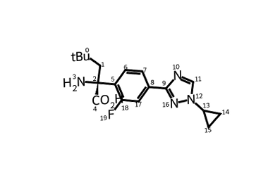 CC(C)(C)C[C@](N)(C(=O)O)c1ccc(-c2ncn(C3CC3)n2)cc1F